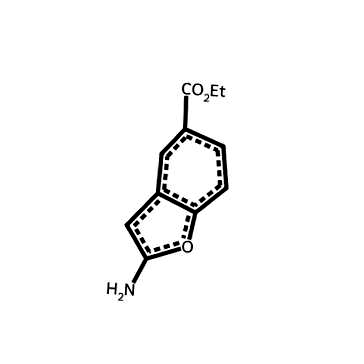 CCOC(=O)c1ccc2oc(N)cc2c1